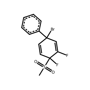 CS(=O)(=O)C1(F)C=CC(Br)(c2ccccc2)C=C1F